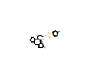 Cc1ccc(S(=O)(=O)OC[C@H]2CC[C@@H]3c4ccccc4Cc4ccc(F)cc4[C@H]3N2)cc1